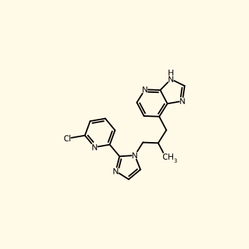 CC(Cc1ccnc2[nH]cnc12)Cn1ccnc1-c1cccc(Cl)n1